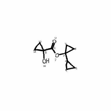 O=C(OC1(C2CC2)CC1)C1(O)CC1